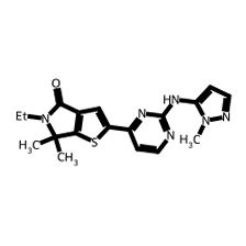 [CH2]CN1C(=O)c2cc(-c3ccnc(Nc4ccnn4C)n3)sc2C1(C)C